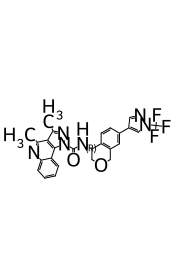 Cc1nc2ccccc2c2c1c(C)nn2C(=O)N[C@H]1COCc2cc(-c3cnn(C(F)(F)F)c3)ccc21